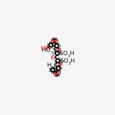 Cc1cc(C(=O)c2cc(S(=O)(=O)O)c(Oc3ccc(C4(c5ccc(O)cc5)OCCO4)cc3)c(S(=O)(=O)O)c2)cc(S(=O)(=O)O)c1Oc1ccc(C2(c3ccccc3)OCCO2)cc1